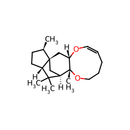 C[C@@H]1CC[C@H]2C(C)(C)[C@H]3C[C@@]12C[C@@H]1O/C=C\CCCO[C@@]13C